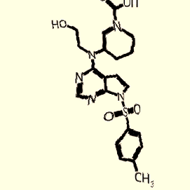 Cc1ccc(S(=O)(=O)n2ccc3c(N(CCO)C4CCCN(C(=O)O)C4)ncnc32)cc1